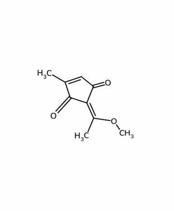 COC(C)=C1C(=O)C=C(C)C1=O